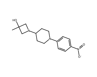 CC1(O)CN(C2CCN(c3ccc([N+](=O)[O-])cc3)CC2)C1